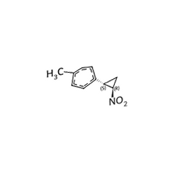 Cc1ccc([C@@H]2C[C@H]2[N+](=O)[O-])cc1